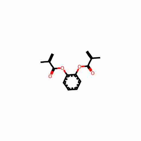 C=C(C)C(=O)Oc1ccccc1OC(=O)C(=C)C